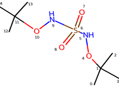 CC(C)(C)ONS(=O)(=O)NOC(C)(C)C